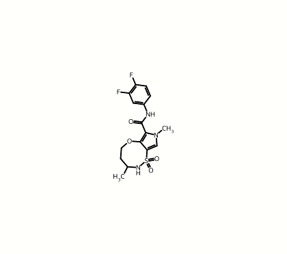 CC1CCOc2c(cn(C)c2C(=O)Nc2ccc(F)c(F)c2)S(=O)(=O)N1